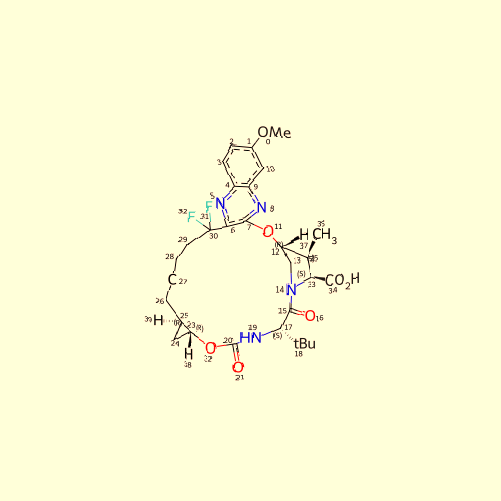 COc1ccc2nc3c(nc2c1)O[C@H]1CN(C(=O)[C@H](C(C)(C)C)NC(=O)O[C@@H]2C[C@H]2CCCCC3(F)F)[C@H](C(=O)O)[C@@H]1C